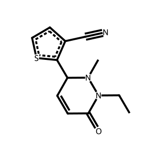 CCN1C(=O)C=CC(c2sccc2C#N)N1C